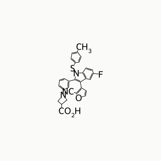 Cc1ccc(Sn2c(-c3cccc(N4CC(C(=O)O)C4)c3)c(-c3ccoc3C#N)c3cc(F)ccc32)cc1